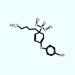 CCCc1ccc(OC2=CCC(CCCCS(=O)(=O)O)(P(=O)(OCC)OCC)C=C2)cc1